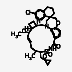 CO[C@H]1/C=C/C[C@H](C)[C@H](CC2CC2)S(=O)(=O)NC(=O)c2ccc3c(c2)N(C[C@@H]2CC[C@H]21)C[C@@]1(CCCc2cc(Cl)ccc21)CO3